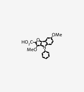 COc1ccc2c(c1)c1oc(C(=O)O)c(OC)c1n2-c1ccccc1